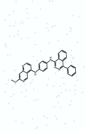 COc1cc2nccc(Nc3ccc(Nc4nnc(-c5ccccc5)c5ccccc45)cc3)c2cn1